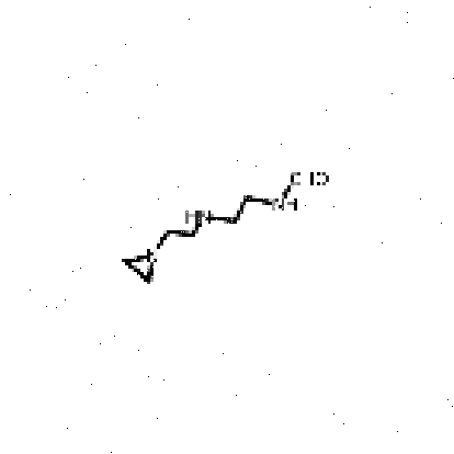 O=CNCCNCCN1CC1